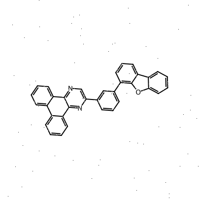 c1cc(-c2cnc3c4ccccc4c4ccccc4c3n2)cc(-c2cccc3c2oc2ccccc23)c1